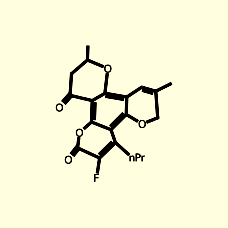 CCCc1c(F)c(=O)oc2c3c(c4c(c12)OCC(C)=C4)OC(C)CC3=O